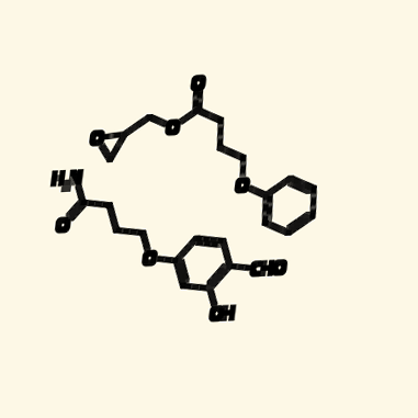 NC(=O)CCCOc1ccc(C=O)c(O)c1.O=C(CCCOc1ccccc1)OCC1CO1